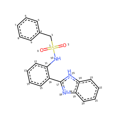 O=S(=O)(Cc1ccccc1)Nc1ccccc1-c1nc2ccccc2[nH]1